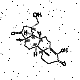 C[C@]12CCC(=O)C(O)=C1CC[C@H]1[C@@H]3[C@@H](CO)CC(=O)[C@@]3(C)CC[C@@H]12